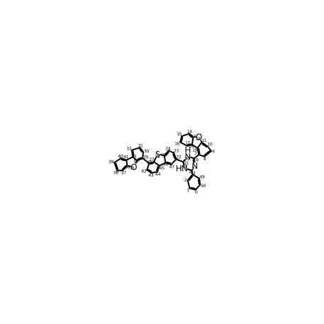 c1ccc(C2N=C(c3cccc4oc5ccccc5c34)NC(c3ccc4sc5c(-c6cccc7c6oc6ccccc67)cccc5c4c3)N2)cc1